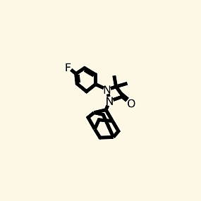 CC1(C)C(=O)N(C2C3CC4CC(C3)CC2C4)N1C1C=CC(F)=CC1